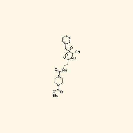 CC(C)(C)OC(=O)N1CCN(C(=O)NCCC(=O)N[C@@H](C#N)S(=O)(=O)Cc2ccccc2)CC1